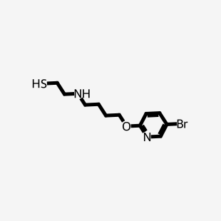 SCCNCCCCOc1ccc(Br)cn1